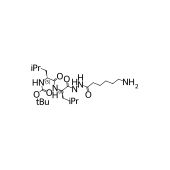 CC(C)C[C@H](NC(=O)OC(C)(C)C)C(=O)N[C@H](CC(C)C)C(=O)NNC(=O)CCCCCN